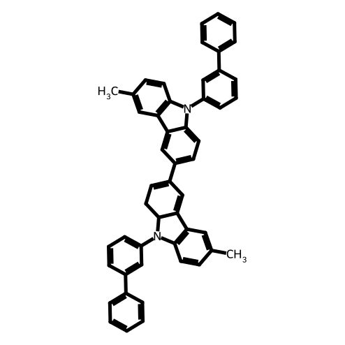 Cc1ccc2c(c1)C1=CC(c3ccc4c(c3)c3cc(C)ccc3n4-c3cccc(-c4ccccc4)c3)=CCC1N2c1cccc(-c2ccccc2)c1